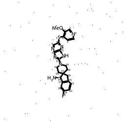 COc1cnccc1Sc1cnc2nc(N3CCC4(CC3)Cc3ccc(F)cc3[C@H]4N)[nH]c2n1